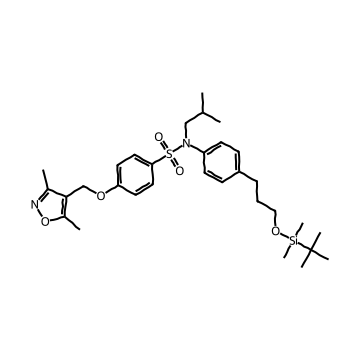 Cc1noc(C)c1COc1ccc(S(=O)(=O)N(CC(C)C)c2ccc(CCCO[Si](C)(C)C(C)(C)C)cc2)cc1